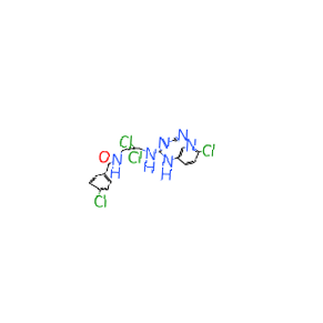 N#CN=C(NCC(Cl)(Cl)CNC(=O)c1ccc(Cl)cc1)Nc1ccc(Cl)nc1